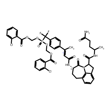 C/C(=C\C(=O)N[C@H]1CCc2cccc3c2N(C1=O)C(C(=O)NC(C)CCC(N)=O)C3)c1ccc(C(F)(F)P(=O)(OCOC(=O)c2ccccc2Cl)OCOC(=O)c2ccccc2Cl)cc1